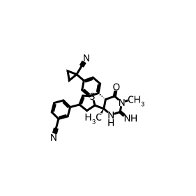 CN1C(=N)N[C@](C)(C2CC(c3cccc(C#N)c3)=CS2)[C@H](c2ccc(C3(C#N)CC3)cc2)C1=O